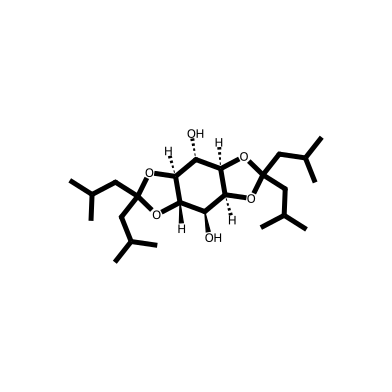 CC(C)CC1(CC(C)C)O[C@@H]2[C@@H](O)[C@@H]3OC(CC(C)C)(CC(C)C)O[C@H]3[C@H](O)[C@@H]2O1